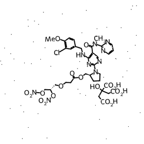 COc1ccc(CNc2nc(N3CCC[C@H]3COC(=O)CCOC[C@@H](CO[N+](=O)[O-])O[N+](=O)[O-])ncc2C(=O)N(C)c2ncccn2)cc1Cl.O=C(O)CC(O)(CC(=O)O)C(=O)O